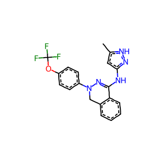 Cc1cc(NC2=NN(c3ccc(OC(F)(F)F)cc3)Cc3ccccc32)n[nH]1